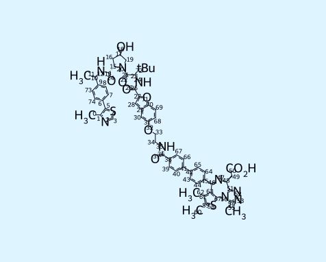 Cc1ncsc1-c1ccc(C(C)NC(=O)[C@@H]2C[C@@H](O)CN2C(=O)C(NC(=O)c2cc3cc(OCCNC(=O)c4ccc(-c5ccc(C6=N[C@@H](CC(=O)O)c7nnc(C)n7-c7sc(C)c(C)c76)cc5)cc4)ccc3o2)C(C)(C)C)cc1